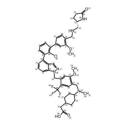 COc1cc(-c2cccc(-c3cccc4c3cnn4Cc3cc(OC)c(CN(C)C4CCC(CC(=O)O)CC4)cc3C(F)(F)F)c2Cl)ccc1CNC[C@@H]1CCC(=O)N1